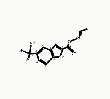 CC=NOC(=O)c1cc2cc(C(F)(F)F)ccc2s1